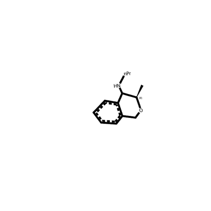 CCCNC1c2ccccc2CO[C@@H]1C